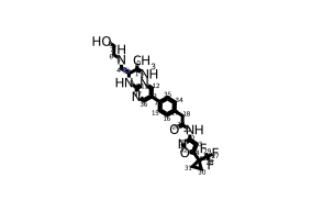 CC(=N)/C(=C\NCCO)Nc1ncc(-c2ccc(CC(=O)Nc3cc(C4(C(F)(F)F)CC4)on3)cc2)cn1